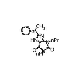 CCCn1c(=O)c2[nH]c([C@H](C)c3ccccc3)nc2n(CCC)c1=O